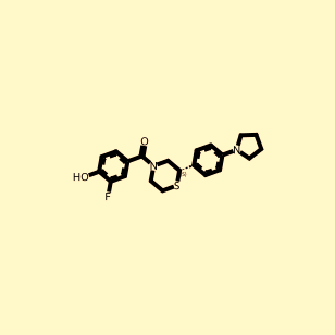 O=C(c1ccc(O)c(F)c1)N1CCS[C@@H](c2ccc(N3CCCC3)cc2)C1